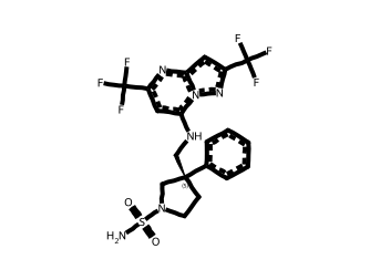 NS(=O)(=O)N1CC[C@@](CNc2cc(C(F)(F)F)nc3cc(C(F)(F)F)nn23)(c2ccccc2)C1